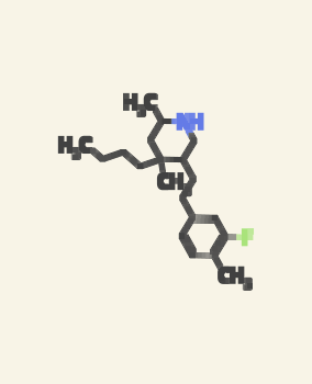 CCCCC1(C)CC(C)NCC1CCc1ccc(C)c(F)c1